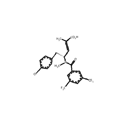 CC(=C[C@@H](Cc1ccc(Cl)cc1)N(C)C(=O)c1cc(C(F)(F)F)cc(C(F)(F)F)c1)C(=O)O